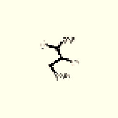 CCOC(=O)CC(N)C(N)C(=O)OCC